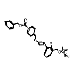 CC(C)(C)[Si](C)(C)OCc1cccc(N2CC(OCC3CCN(C(=O)OCc4ccccc4)CC3)C2)c1F